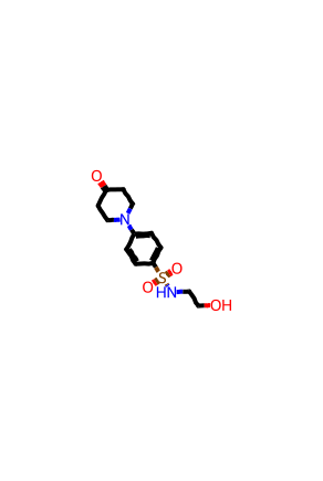 O=C1CCN(c2ccc(S(=O)(=O)NCCO)cc2)CC1